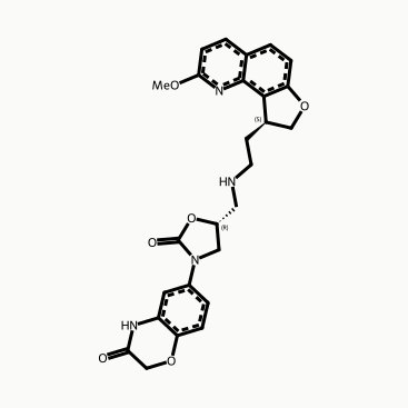 COc1ccc2ccc3c(c2n1)[C@H](CCNC[C@@H]1CN(c2ccc4c(c2)NC(=O)CO4)C(=O)O1)CO3